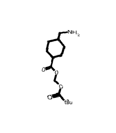 CC(C)(C)C(=O)OCOC(=O)C1CCC(CN)CC1